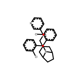 Clc1ccccc1C(c1ccccc1Cl)N1C2CCC1CC(CNc1cccnc1)C2